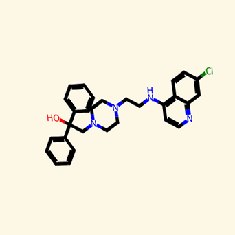 OC(CN1CCN(CCNc2ccnc3cc(Cl)ccc23)CC1)(c1ccccc1)c1ccccc1